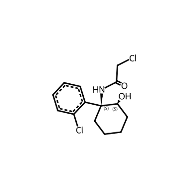 O=C(CCl)N[C@]1(c2ccccc2Cl)CCCC[C@@H]1O